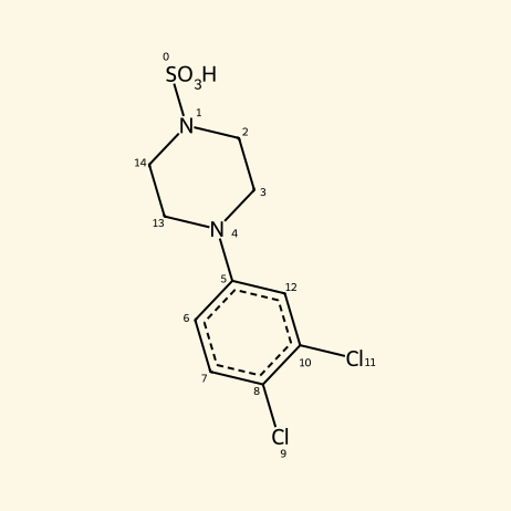 O=S(=O)(O)N1CCN(c2ccc(Cl)c(Cl)c2)CC1